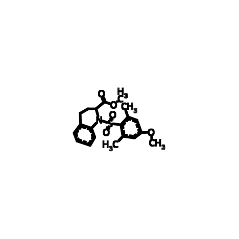 COC(=O)C1CCc2ccccc2N1S(=O)(=O)c1c(C)cc(OC)cc1C